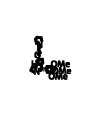 COc1cc([C@@H]2CN3CCC[C@H]3c3cc(OCCCN4CCCCC4)ccc32)cc(OC)c1OC